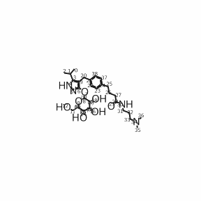 CC(C)c1[nH]nc(O[C@@H]2O[C@H](CO)[C@@H](O)[C@H](O)[C@H]2O)c1Cc1ccc(CCCC(=O)NCCCN(C)C)cc1